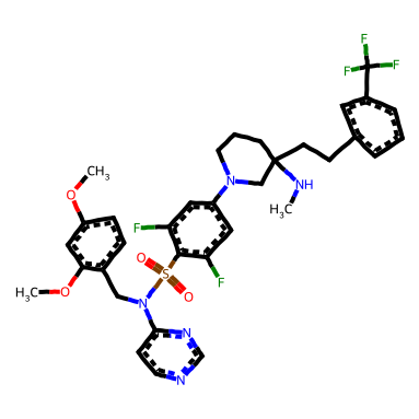 CNC1(CCc2cccc(C(F)(F)F)c2)CCCN(c2cc(F)c(S(=O)(=O)N(Cc3ccc(OC)cc3OC)c3ccncn3)c(F)c2)C1